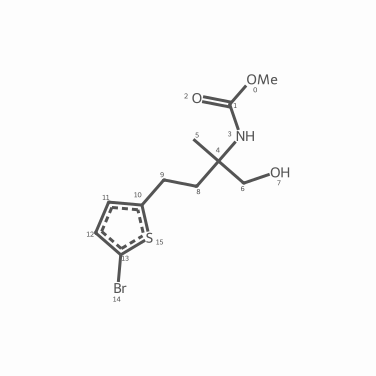 COC(=O)NC(C)(CO)CCc1ccc(Br)s1